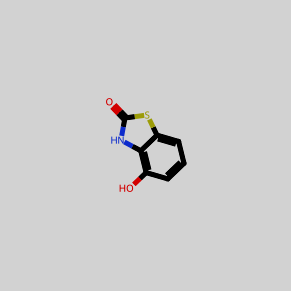 O=c1[nH]c2c(O)cccc2s1